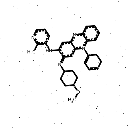 COC1CCC(/N=c2\cc3n(C4=CC=CCC4)c4ccccc4nc-3cc2Nc2cccnc2C)CC1